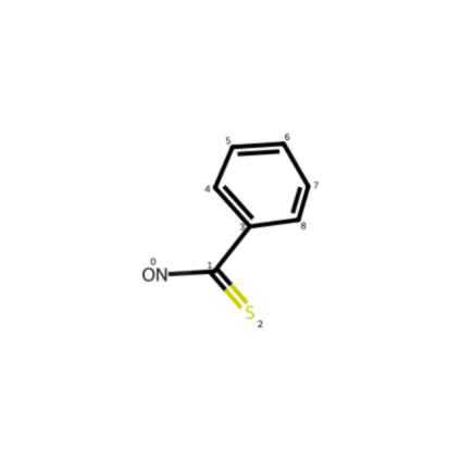 O=NC(=S)c1ccccc1